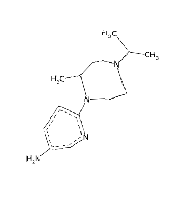 CC(C)N1CCN(c2ccc(N)cn2)C(C)C1